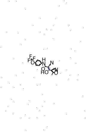 Cc1oncc1/C(O)=C(\C#N)C(=O)Nc1ccc(OC(F)(F)F)cc1